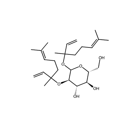 C=CC(C)(CCC=C(C)C)OC1O[C@H](CO)[C@@H](O)[C@H](O)[C@H]1OC(C)(C=C)CCC=C(C)C